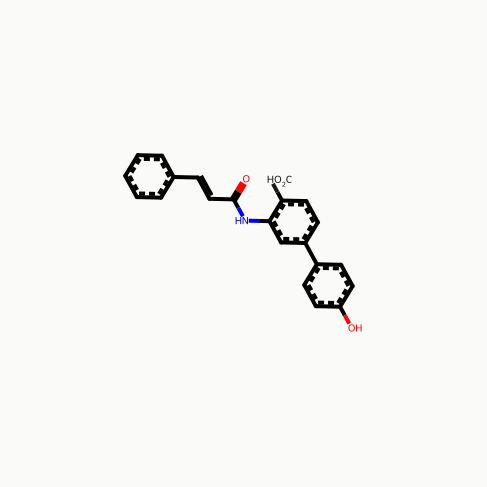 O=C(C=Cc1ccccc1)Nc1cc(-c2ccc(O)cc2)ccc1C(=O)O